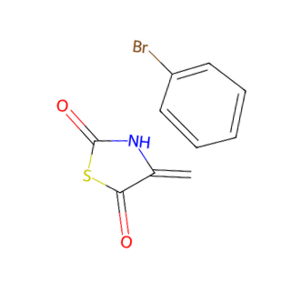 Brc1ccccc1.C=C1NC(=O)SC1=O